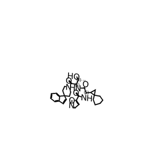 C[C@@H](O)[C@H](NC(=O)[C@@H](NC(=O)c1ccno1)C1CC12CCCCC2)C(=O)N1CCC2(C=Cc3ccccc32)CC1